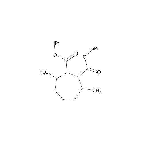 CC(C)OC(=O)C1C(C)CCCC(C)C1C(=O)OC(C)C